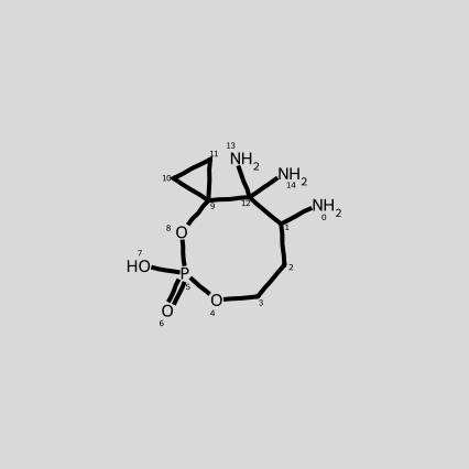 NC1CCOP(=O)(O)OC2(CC2)C1(N)N